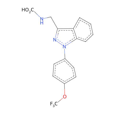 O=C(O)NCc1nn(-c2ccc(OC(F)(F)F)cc2)c2ccccc12